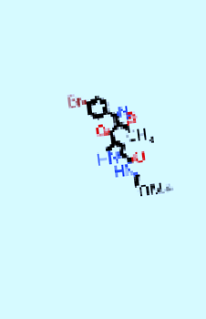 COCCNC(=O)c1cc(C(=O)c2c(-c3ccc(Br)cc3)noc2C)c[nH]1